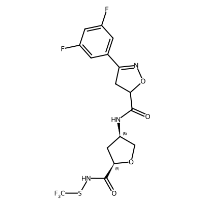 O=C(N[C@H]1CO[C@@H](C(=O)NSC(F)(F)F)C1)C1CC(c2cc(F)cc(F)c2)=NO1